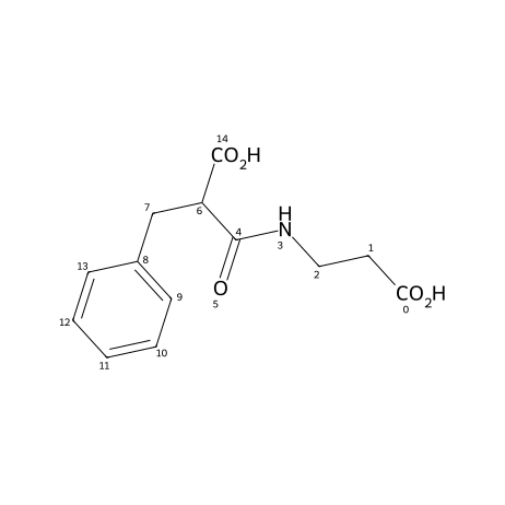 O=C(O)CCNC(=O)C(Cc1ccccc1)C(=O)O